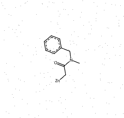 CN(Cc1ccccc1)C(=O)[CH2][Zn]